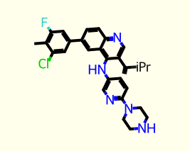 C=C(c1cnc2ccc(-c3cc(F)c(C)c(Cl)c3)cc2c1Nc1ccc(N2CCNCC2)nc1)C(C)C